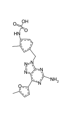 Cc1ccc(-c2nc(N)nc3c2nnn3Cc2ccc(NS(=O)(=O)O)c(C)c2)o1